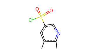 Cc1cc(S(=O)(=O)Cl)cnc1C